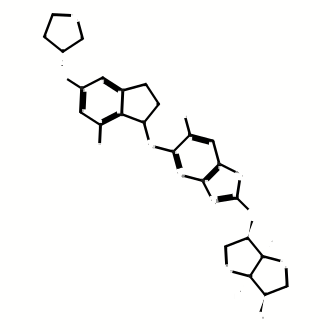 O[C@@H]1CO[C@H]2[C@@H]1OC[C@H]2Oc1nc2nc(NC3CCc4cc(O[C@@H]5CCOC5)cc(F)c43)c(Cl)cc2[nH]1